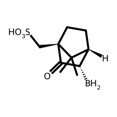 B[C@@H]1C(=O)[C@]2(CS(=O)(=O)O)CC[C@H]1C2(C)C